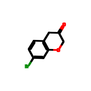 O=C1COc2cc(Br)ccc2C1